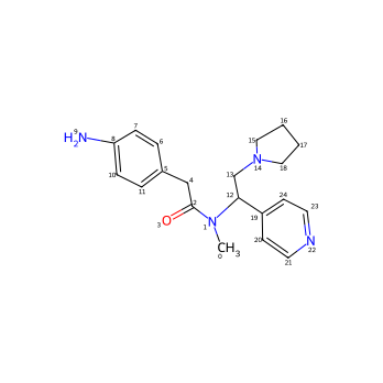 CN(C(=O)Cc1ccc(N)cc1)C(CN1CCCC1)c1ccncc1